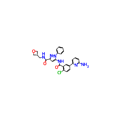 Nc1cccc(-c2ccc(Cl)c(C(=O)Nc3cc(C(=O)NCC4COC4)nn3-c3ccccc3)c2)n1